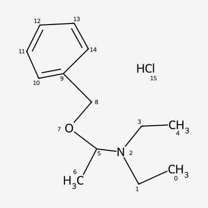 CCN(CC)C(C)OCc1ccccc1.Cl